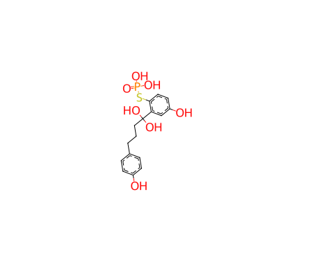 O=P(O)(O)Sc1ccc(O)cc1C(O)(O)CCCc1ccc(O)cc1